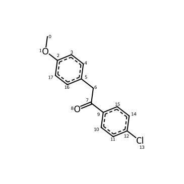 COc1ccc(CC(=O)c2ccc(Cl)cc2)cc1